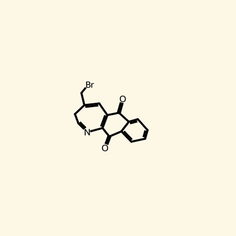 O=C1C2=C(N=CCC(CBr)=C2)C(=O)c2ccccc21